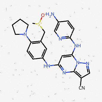 C[S+]([O-])Cc1cc(Nc2cc(Nc3ccc(N)cn3)n3ncc(C#N)c3n2)ccc1N1CCCC1